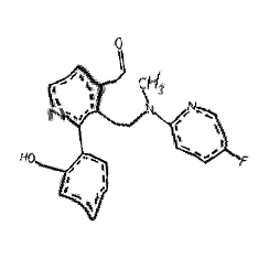 CN(Cc1c(C=O)ccnc1-c1ccccc1O)c1ccc(F)cn1